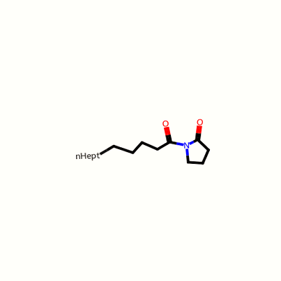 CCCCCCCCCCCC(=O)N1CCCC1=O